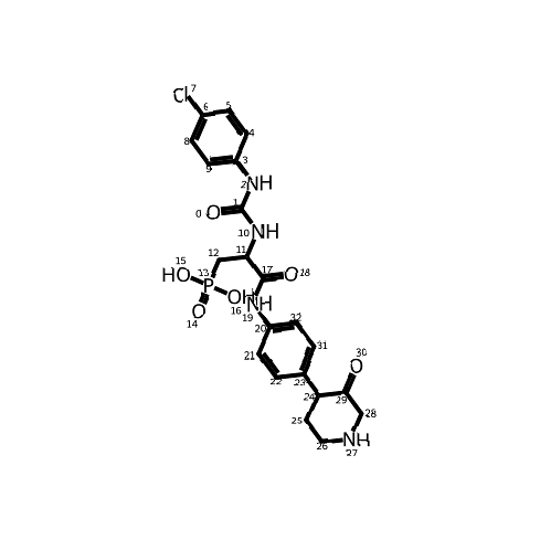 O=C(Nc1ccc(Cl)cc1)NC(CP(=O)(O)O)C(=O)Nc1ccc(C2CCNCC2=O)cc1